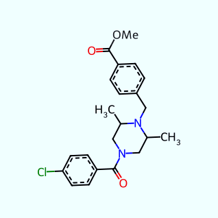 COC(=O)c1ccc(CN2C(C)CN(C(=O)c3ccc(Cl)cc3)CC2C)cc1